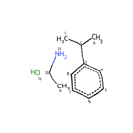 CC(C)c1ccccc1.CCN.Cl